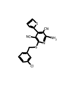 N#Cc1c(N)nc(SCc2cccc(Cl)c2)c(C#N)c1-c1cccs1